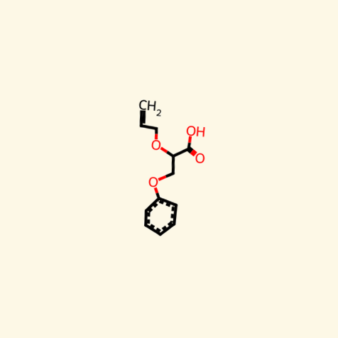 C=CCOC(COc1ccccc1)C(=O)O